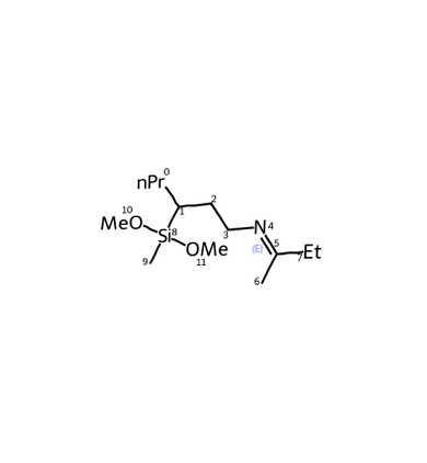 CCCC(CC/N=C(\C)CC)[Si](C)(OC)OC